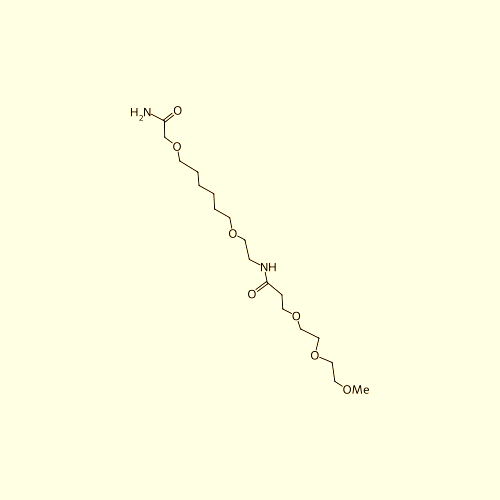 COCCOCCOCCC(=O)NCCOCCCCCCOCC(N)=O